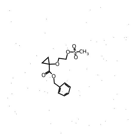 CS(=O)(=O)OCCOC1(C(=O)OCc2ccccc2)CC1